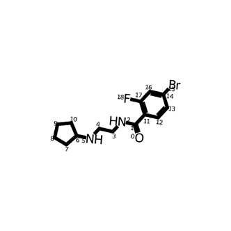 O=C(NCCNC1CCCC1)c1ccc(Br)cc1F